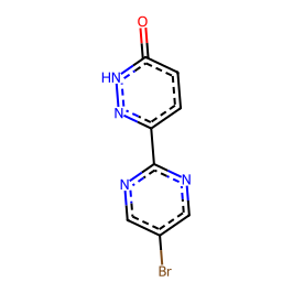 O=c1ccc(-c2ncc(Br)cn2)n[nH]1